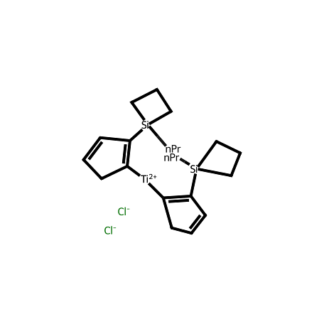 CCC[Si]1(C2=[C]([Ti+2][C]3=C([Si]4(CCC)CCC4)C=CC3)CC=C2)CCC1.[Cl-].[Cl-]